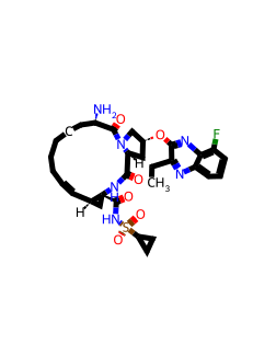 CCc1nc2cccc(F)c2nc1O[C@@H]1C[C@H]2C(=O)N[C@]3(C(=O)NS(=O)(=O)C4CC4)C[C@H]3/C=C\CCCCC[C@H](N)C(=O)N2C1